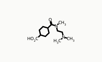 CN(C)CCN(C)C(=O)C1CCC(C(=O)O)CC1